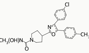 Cc1ccc(-c2oc(C3CCN(C(=O)N(C)O)CC3)nc2-c2ccc(Cl)cc2)cc1